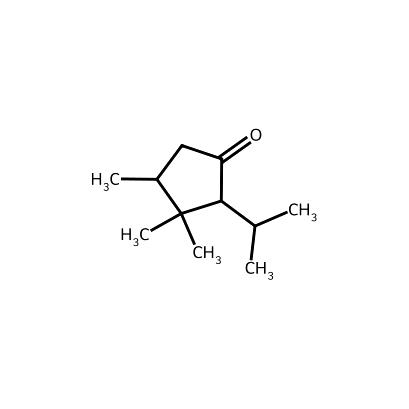 CC(C)C1C(=O)CC(C)C1(C)C